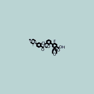 C[C@@H]1CN(C)CCN1c1ccc(C(=O)N2COc3c(cccc3-c3cc(N4C5CCC4COC5)c(C(=O)O)cc3F)C2)c(Cl)c1